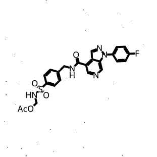 CC(=O)OCNS(=O)(=O)c1ccc(CNC(=O)c2cncc3c2cnn3-c2ccc(F)cc2)cc1